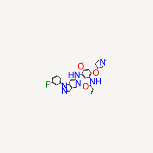 C=CC(=O)Nc1cc(Nc2cc3c(cn2)cnn3-c2cccc(F)c2)c(OC)cc1OC1CCN(C)C1